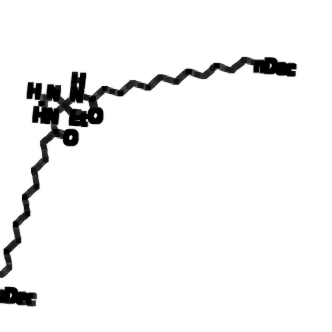 CCCCCCCCCCCCCCCCCCCCCC(=O)NC(N)(CC)NC(=O)CCCCCCCCCCCCCCCCCCCCC